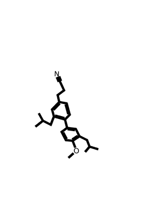 COc1ccc(-c2ccc(CCC#N)cc2CC(C)C)cc1CC(C)C